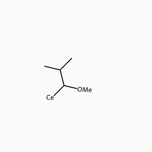 CO[CH]([Ce])C(C)C